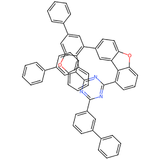 c1ccc(-c2cccc(-c3nc(-c4cccc(-c5ccccc5)c4)nc(-c4cccc5oc6ccc(-c7cc(-c8ccccc8)cc8oc9ccccc9c78)cc6c45)n3)c2)cc1